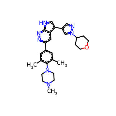 Cc1cc(-c2cc3c(-c4cnn(C5CCOCC5)c4)c[nH]c3nn2)cc(C)c1N1CCN(C)CC1